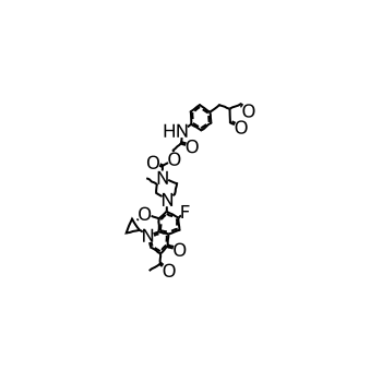 COc1c(N2CCN(C(=O)OCC(=O)Nc3ccc(CC(C=O)C=O)cc3)C(C)C2)c(F)cc2c(=O)c(C(C)=O)cn(C3CC3)c12